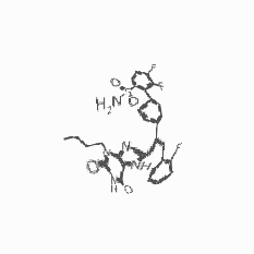 CCCCn1c(=O)[nH]c(=O)c2[nH]c(C(Cc3ccccc3F)c3ccc(-c4c(S(N)(=O)=O)ccc(F)c4F)cc3)nc21